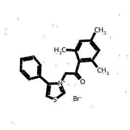 Cc1cc(C)c(C(=O)C[n+]2cscc2-c2ccccc2)c(C)c1.[Br-]